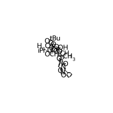 CC(OC(=O)C(C)C)OP(=O)(OC(C)OC(=O)C(C)(C)C)OP(=O)(O)OC[C@H]1O[C@@H](n2ccc(=O)n(Cc3noc4ccccc34)c2=O)CC1(C)C